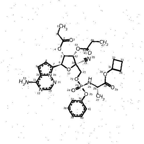 CCC(=O)O[C@H]1[C@H](c2ccc3c(N)ncnn23)O[C@](C#N)(CO[P@](=O)(N[C@@H](C)C(=O)OC2CCC2)Oc2ccccc2)[C@H]1OC(=O)CC